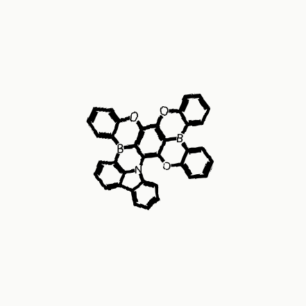 c1ccc2c(c1)Oc1c3c4c(c5c1B2c1ccccc1O5)-n1c2ccccc2c2cccc(c21)B4c1ccccc1O3